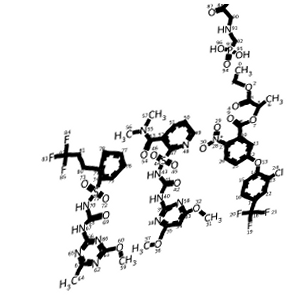 CCOC(=O)C(C)OC(=O)c1cc(Oc2ccc(C(F)(F)F)cc2Cl)ccc1[N+](=O)[O-].COc1cc(OC)nc(NC(=O)NS(=O)(=O)c2ncccc2C(=O)N(C)C)n1.COc1nc(C)nc(NC(=O)NS(=O)(=O)c2ccccc2CCC(F)(F)F)n1.O=C(O)CNCP(=O)(O)O